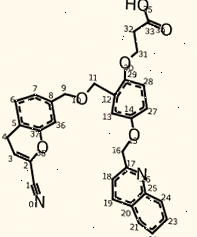 N#CC1=CCc2ccc(COCc3cc(OCc4ccc5ccccc5n4)ccc3OCCC(=O)O)cc2O1